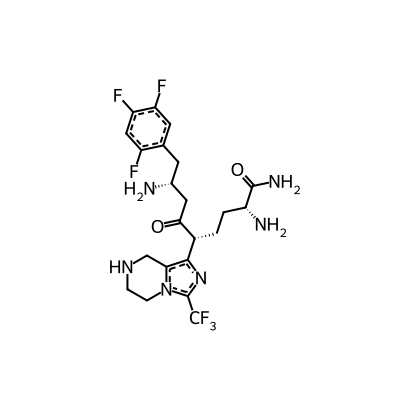 NC(=O)[C@H](N)CC[C@@H](C(=O)C[C@H](N)Cc1cc(F)c(F)cc1F)c1nc(C(F)(F)F)n2c1CNCC2